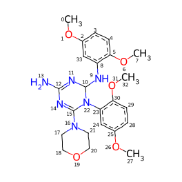 COc1ccc(OC)c(NC2N=C(N)N=C(N3CCOCC3)N2c2cc(OC)ccc2OC)c1